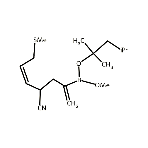 C=C(CC(C#N)/C=C\CSC)B(OC)OC(C)(C)CC(C)C